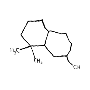 CC1(C)CCCC2CCC(C#N)CC21